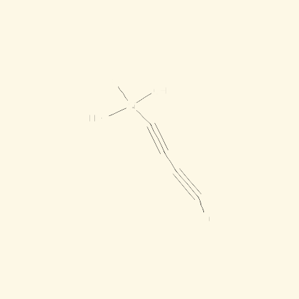 [Li][C]#CC#C[Si](C)(C)C